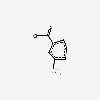 S=C(Cl)c1cccc(C(Cl)(Cl)Cl)c1